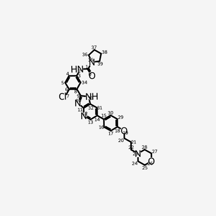 O=C(Nc1ccc(Cl)c(-c2nc3ncc(-c4ccc(OCCCN5CCOCC5)cc4)cc3[nH]2)c1)N1CCCC1